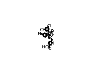 CN1C(=O)N(c2cc(Cl)cc(Cl)c2)C(=O)[C@]12CN(Cc1ccc(C(=O)O)cn1)C[C@H]2c1ccc(C#N)cc1